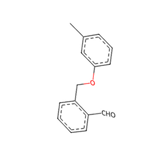 Cc1cccc(OCc2ccccc2C=O)c1